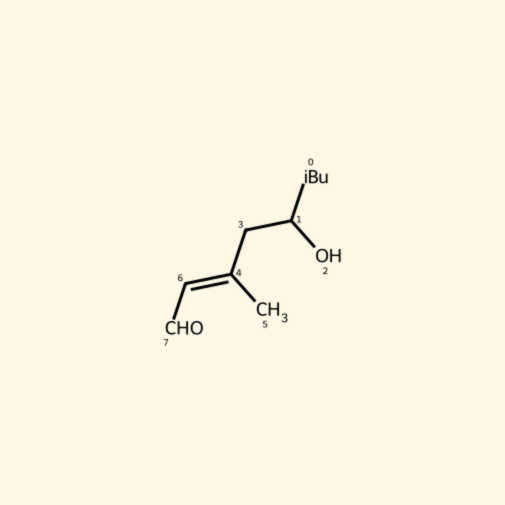 CCC(C)C(O)C/C(C)=C/C=O